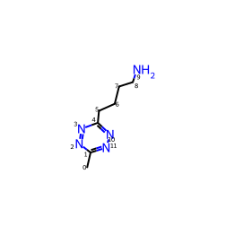 Cc1nnc(CCCCN)nn1